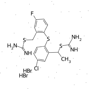 Br.Br.CC(SC(=N)N)c1cc(Cl)ccc1Sc1ccc(F)cc1CSC(=N)N